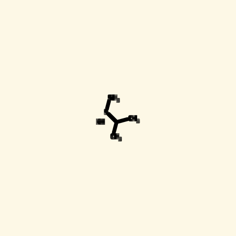 CC(C)S[SiH3].[KH]